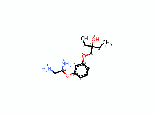 CCC(O)(CC)COc1cccc(O[C@H](N)CN)c1